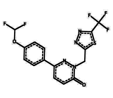 O=c1ccc(-c2ccc(OC(F)F)cc2)nn1Cc1nnc(C(F)(F)F)s1